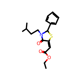 CCOC(=O)C=C1SC(c2ccccc2)N(CCC(C)C)C1=O